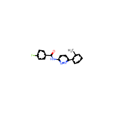 Cc1ccccc1-c1ccc(NC(=O)c2ccc(F)cc2)nn1